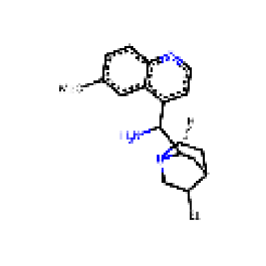 CCC1C[N@@]2CCC1C[C@@H]2C(N)c1ccnc2ccc(OC)cc12